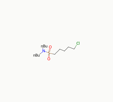 CCCCN(CCCC)S(=O)(=O)CCCCCCl